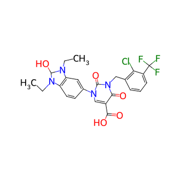 CCN1c2ccc(-n3cc(C(=O)O)c(=O)n(Cc4cccc(C(F)(F)F)c4Cl)c3=O)cc2N(CC)C1O